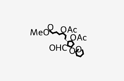 COC(=O)CCCC(CC[C@H]1C(C=O)[C@@H](OC2CCCCO2)C[C@H]1OC(C)=O)OC(C)=O